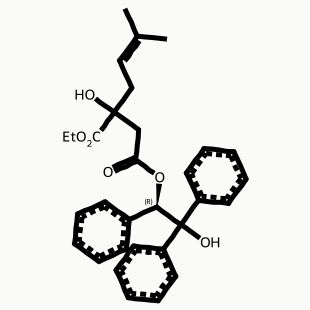 CCOC(=O)C(O)(CC=C(C)C)CC(=O)O[C@H](c1ccccc1)C(O)(c1ccccc1)c1ccccc1